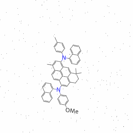 COc1ccc(N(c2cccc3ccccc23)c2cc3c4c(cc5c(N(c6ccc(C)cc6)c6cccc7ccccc67)cc(C)c6ccc2c4c65)C(C)(C)CC3)cc1